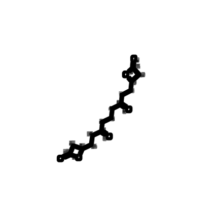 O=C(CCCC(=O)CCC1CC(=O)O1)CCC1CC(=O)O1